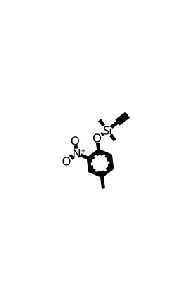 C#C[Si](C)(C)Oc1ccc(C)cc1[N+](=O)[O-]